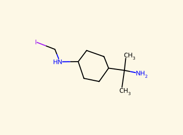 CC(C)(N)C1CCC(NCI)CC1